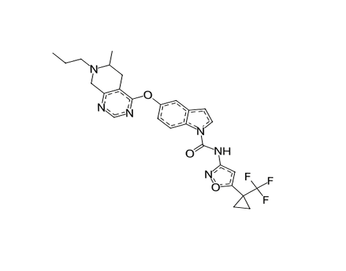 CCCN1Cc2ncnc(Oc3ccc4c(ccn4C(=O)Nc4cc(C5(C(F)(F)F)CC5)on4)c3)c2CC1C